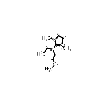 CCN(CCOC)C1=[N+](C)CCN1C